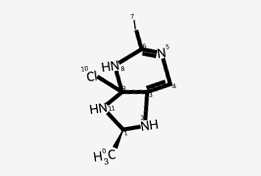 C[C@@H]1NC2=CN=C(I)NC2(Cl)N1